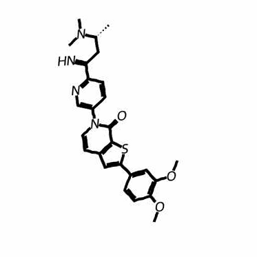 COc1ccc(-c2cc3ccn(-c4ccc(C(=N)C[C@@H](C)N(C)C)nc4)c(=O)c3s2)cc1OC